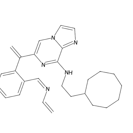 C=C/N=C\c1ccccc1C(=C)c1cn2ccnc2c(NCCC2CCCCCCC2)n1